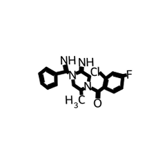 CC1CN(C(=N)c2ccccc2)C(=N)CN1C(=O)c1ccc(F)cc1Cl